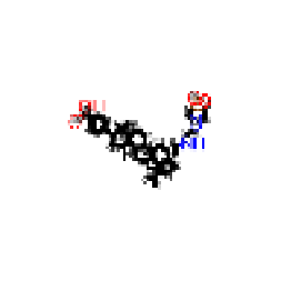 C=C(C)[C@@H]1CC[C@]2(CCNCCN3CCS(=O)(=O)CC3)CC[C@]3(C)[C@H](CC[C@@H]4[C@@]5(C)CC=C(c6ccc(C(=O)O)cc6)C(C)(C)[C@@H]5CC[C@]43C)[C@@H]12